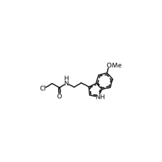 COc1ccc2[nH]cc(CCNC(=O)CCl)c2c1